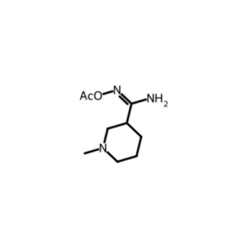 CC(=O)O/N=C(/N)C1CCCN(C)C1